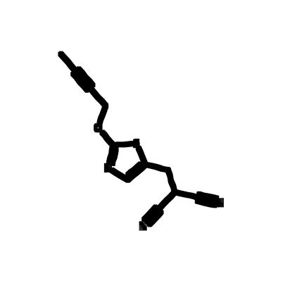 CC#CCOc1ncc(CC(C#N)C#N)s1